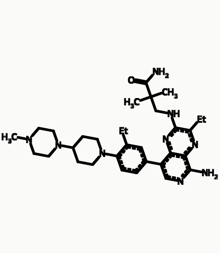 CCc1cc(-c2cnc(N)c3nc(CC)c(NCC(C)(C)C(N)=O)nc23)ccc1N1CCC(N2CCN(C)CC2)CC1